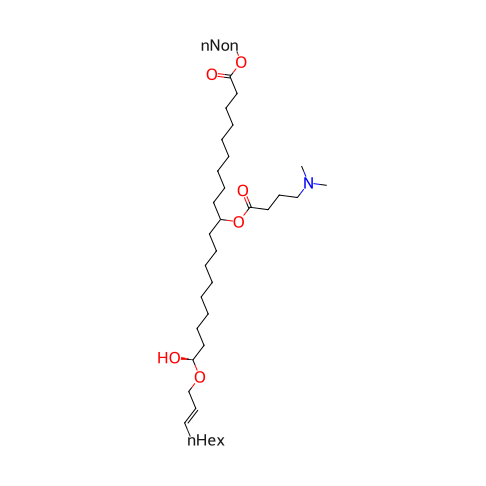 CCCCCC/C=C/CO[C@@H](O)CCCCCCCCC(CCCCCCCCC(=O)OCCCCCCCCC)OC(=O)CCCN(C)C